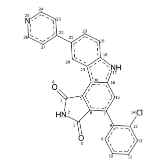 O=C1NC(=O)c2c1c(-c1ccccc1Cl)cc1[nH]c3ccc(-c4ccncc4)cc3c21